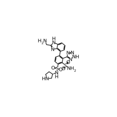 NCc1nc2c(-c3ccc(S(=O)(=O)N[C@@H]4CCNC4)c(S(N)(=O)=O)c3-c3nn[nH]n3)cccc2[nH]1